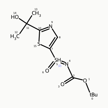 CC(C)(C)OC(=O)/N=[SH](=O)/c1cnc(C(C)(C)O)s1